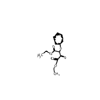 CCOC(=O)C(=O)C(Oc1ccccc1)C(=O)OCC